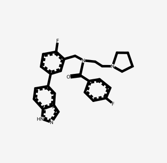 O=C(c1ccc(F)cc1)N(CCN1CCCC1)Cc1cc(-c2ccc3[nH]ncc3c2)ccc1F